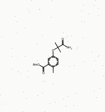 COC(=O)c1cc(OC(C)(C)C(N)=O)ccc1C